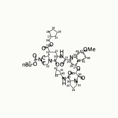 CCCCOC(=O)N1CCN(C(=O)C(CCC(=O)OCC2CCCC2)NC(=O)c2cc(OCC(=O)N3CCCC3C(=O)NC3CCC3)c3ccc(OC)cc3n2)CC1